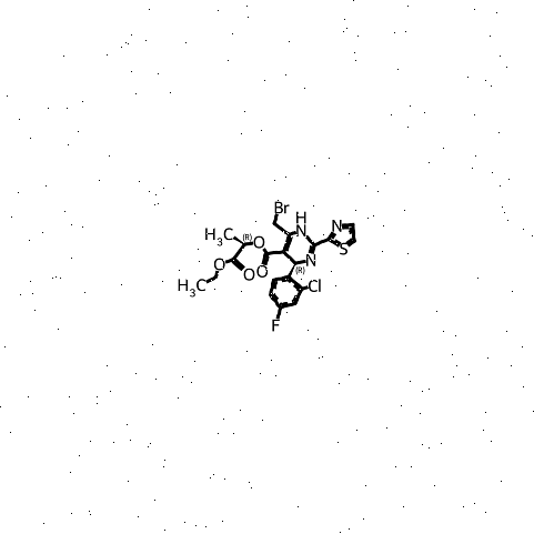 CCOC(=O)[C@@H](C)OC(=O)C1=C(CBr)NC(c2nccs2)=N[C@H]1c1ccc(F)cc1Cl